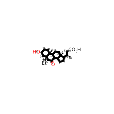 CC[C@H]1C(=O)C2C3CCC([C@H](C)CC(=O)O)[C@@]3(C)CCC2[C@@]2(C)CC[C@@H](O)C[C@@H]12